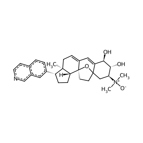 C[C@]12CC=C3C=C4[C@@H](O)[C@H](O)[C@@H]([N+](C)(C)[O-])CC45CC[C@]3(O5)[C@@H]1CC[C@@H]2c1ccc2ccncc2c1